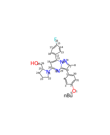 CCCCOc1ccc(-c2c(C)nn3c(-c4ccc(F)cc4)cc(N4CCCC4CO)nc23)cc1